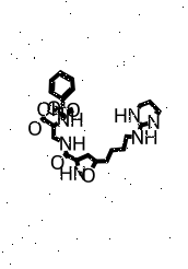 O=C(O)C(CNC(=O)C1CC(CCCCNC2N=CCCN2)ON1)NS(=O)(=O)c1ccccc1